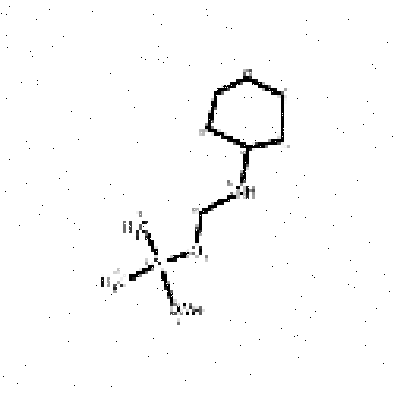 CO[Si](C)(C)OCNC1CCCCC1